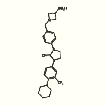 O=C(O)C1CN(Cc2ccc(N3CCN(c4ccc(C5CCCCC5)c(C(F)(F)F)c4)C3=O)cc2)C1